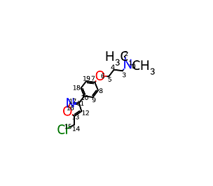 CN(C)CCCOc1ccc(-c2cc(CCl)on2)cc1